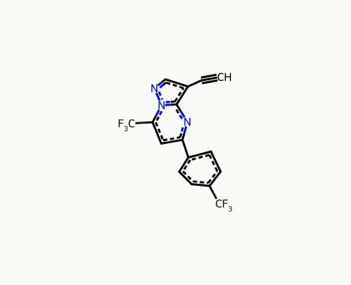 C#Cc1cnn2c(C(F)(F)F)cc(-c3ccc(C(F)(F)F)cc3)nc12